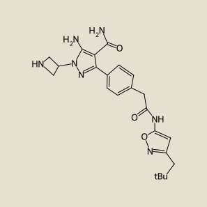 CC(C)(C)Cc1cc(NC(=O)Cc2ccc(-c3nn(C4CNC4)c(N)c3C(N)=O)cc2)on1